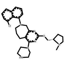 CN1CCC[C@H]1COc1nc2c(c(N3CCNCC3)n1)CCCN(c1cccc3cccc(Cl)c13)C2